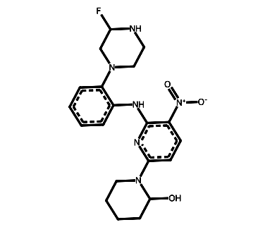 O=[N+]([O-])c1ccc(N2CCCCC2O)nc1Nc1ccccc1N1CCNC(F)C1